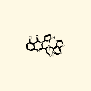 O=c1c2c(Cl)cccc2nc(C(CO)Nc2ncnc3scnc23)n1-c1cc[nH]n1